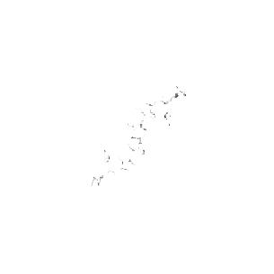 N#CC(C#N)=Cc1ccc(-c2cc3sc(-c4ccc(C=C(C#N)C#N)s4)cc3s2)s1